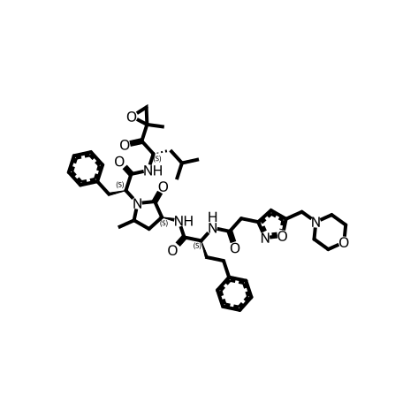 CC(C)C[C@H](NC(=O)[C@H](Cc1ccccc1)N1C(=O)[C@@H](NC(=O)[C@H](CCc2ccccc2)NC(=O)Cc2cc(CN3CCOCC3)on2)CC1C)C(=O)C1(C)CO1